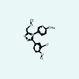 CCOCc1nnc(-c2ccc(OCC)c(Cl)c2)n1-c1ccc(OC)nc1